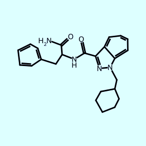 NC(=O)C(Cc1ccccc1)NC(=O)c1nn(CC2CCCCC2)c2ccccc12